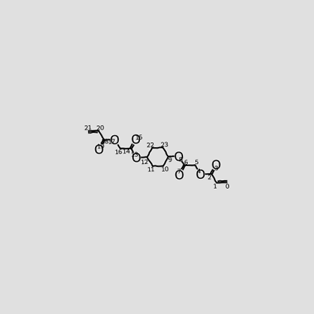 C=CC(=O)OCC(=O)OC1CCC(OC(=O)COC(=O)C=C)CC1